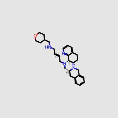 C(=C\CN(C[C@H]1Cc2ccccc2CN1)[C@H]1CCCc2cccnc21)/CNCC1CCOCC1